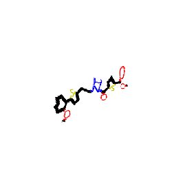 COC(=O)c1ccc(C(=O)NCCc2ccc(-c3ccccc3OC)s2)s1